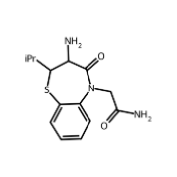 CC(C)C1Sc2ccccc2N(CC(N)=O)C(=O)C1N